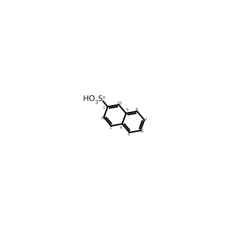 O=S(=O)(O)c1[c]cc2ccccc2c1